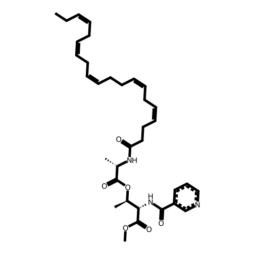 CC/C=C\C/C=C\C/C=C\CC/C=C\C/C=C\CCC(=O)N[C@@H](C)C(=O)O[C@H](C)[C@H](NC(=O)c1cccnc1)C(=O)OC